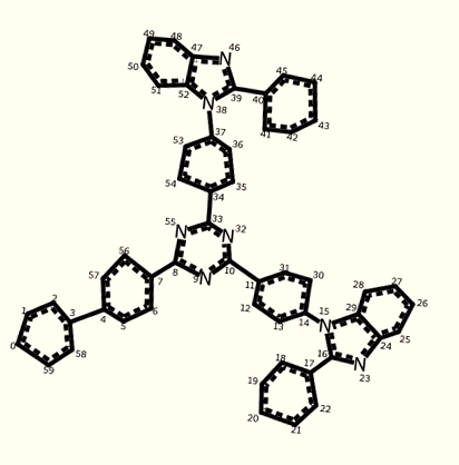 c1ccc(-c2ccc(-c3nc(-c4ccc(-n5c(-c6ccccc6)nc6ccccc65)cc4)nc(-c4ccc(-n5c(-c6ccccc6)nc6ccccc65)cc4)n3)cc2)cc1